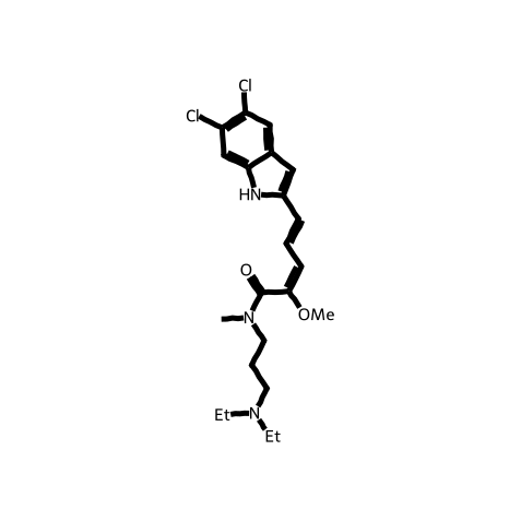 CCN(CC)CCCN(C)C(=O)C(=CC=Cc1cc2cc(Cl)c(Cl)cc2[nH]1)OC